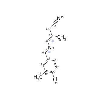 C/C(=C\N=C\c1ccc(Cl)c(C)c1)CC#N